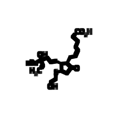 C=CC(O)(C/C=C/[C@H]1[C@H](SCCO)CC(=O)[C@@H]1C/C=C\CCCC(=O)O)CCCC